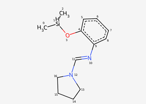 C[SiH](C)Oc1ccccc1N=CN1CCCC1